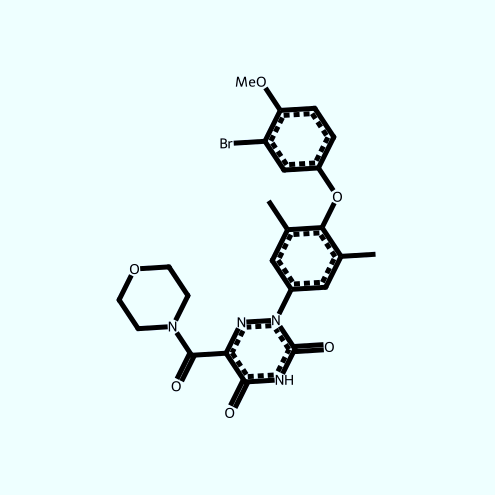 COc1ccc(Oc2c(C)cc(-n3nc(C(=O)N4CCOCC4)c(=O)[nH]c3=O)cc2C)cc1Br